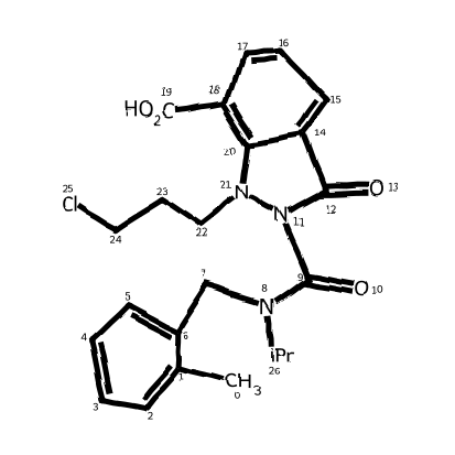 Cc1ccccc1CN(C(=O)n1c(=O)c2cccc(C(=O)O)c2n1CCCCl)C(C)C